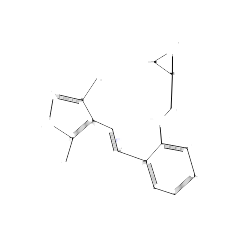 Cc1noc(C)c1/C=C/c1ccccc1OCC1CO1